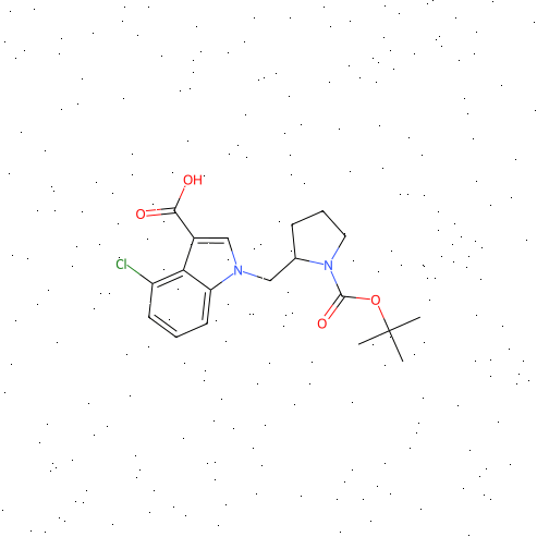 CC(C)(C)OC(=O)N1CCCC1Cn1cc(C(=O)O)c2c(Cl)cccc21